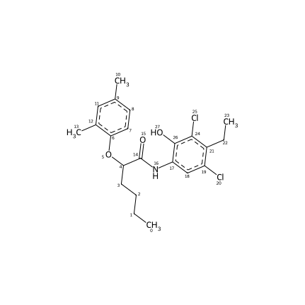 CCCCC(Oc1ccc(C)cc1C)C(=O)Nc1cc(Cl)c(CC)c(Cl)c1O